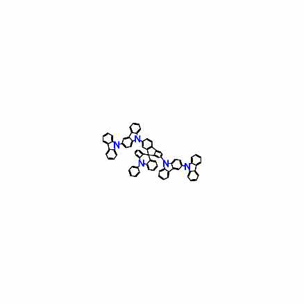 c1ccc(N2c3ccccc3C3(c4cc(-n5c6ccccc6c6cc(-n7c8ccccc8c8ccccc87)ccc65)ccc4-c4ccc(-n5c6ccccc6c6cc(-n7c8ccccc8c8ccccc87)ccc65)cc43)c3ccccc32)cc1